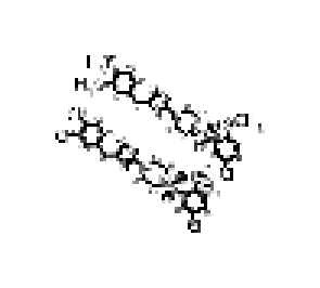 COc1ccc(Cl)cc1S(=O)(=O)N1CCN(c2nc(Cc3ccc(C)c(C)c3)cs2)CC1.COc1ccc(Cl)cc1S(=O)(=O)N1CCN(c2nc(Cc3ccc(Cl)c(Cl)c3)cs2)CC1